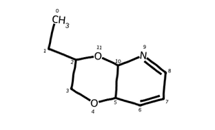 CCC1COC2C=CC=NC2O1